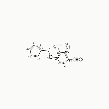 O=Cc1ccc(OCc2ccccc2)c(Cl)c1Cl